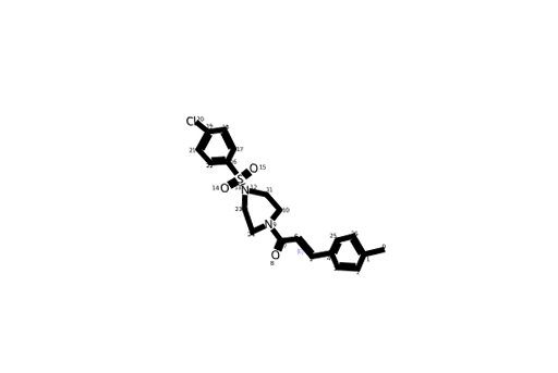 Cc1ccc(/C=C/C(=O)N2CCN(S(=O)(=O)c3ccc(Cl)cc3)CC2)cc1